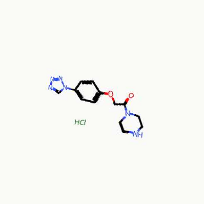 Cl.O=C(COc1ccc(-n2cnnn2)cc1)N1CCNCC1